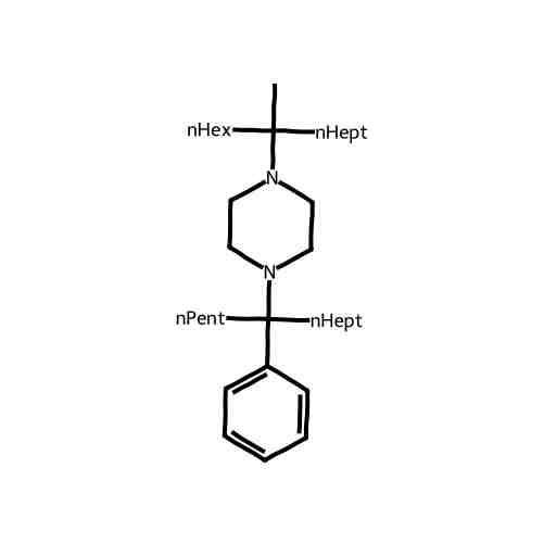 CCCCCCCC(C)(CCCCCC)N1CCN(C(CCCCC)(CCCCCCC)c2ccccc2)CC1